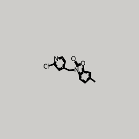 Cc1ccc2c(c1)oc(=O)n2Cc1ccnc(Cl)c1